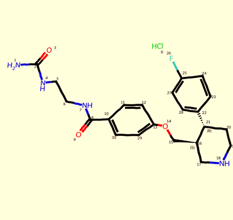 Cl.NC(=O)NCCNC(=O)c1ccc(OC[C@@H]2CNCC[C@H]2c2ccc(F)cc2)cc1